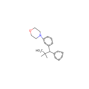 CC(C)(C(=O)O)C(c1ccccc1)c1cccc(N2CCOCC2)c1